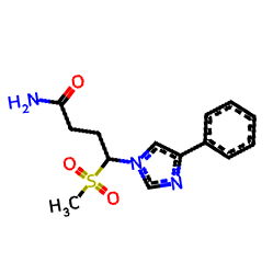 CS(=O)(=O)C(CCC(N)=O)n1cnc(-c2ccccc2)c1